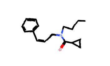 CCCCN(C/C=C\c1ccccc1)C(=O)C1CC1